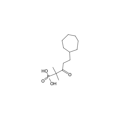 CC(C)(C(=O)CCC1CCCCCC1)P(=O)(O)O